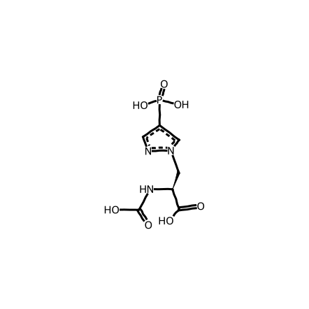 O=C(O)N[C@@H](Cn1cc(P(=O)(O)O)cn1)C(=O)O